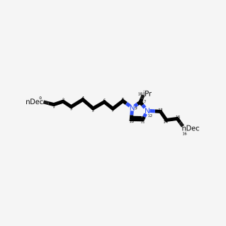 CCCCCCCCCCCCCCCCCCN1C=CN(CCCCCCCCCCCCC)C1C(C)C